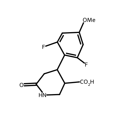 COc1cc(F)c(C2CC(=O)NCC2C(=O)O)c(F)c1